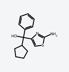 Nc1nc(C(O)(c2ccccc2)C2CCCC2)cs1